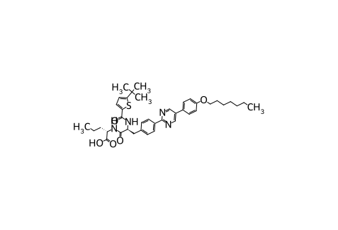 CCCCCCCOc1ccc(-c2cnc(-c3ccc(C[C@H](NC(=O)c4ccc(C(C)(C)C)s4)C(=O)N[C@@H](CCC)C(=O)O)cc3)nc2)cc1